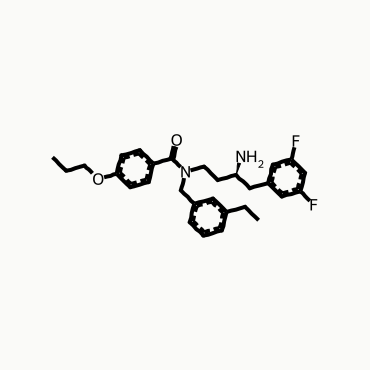 CCCOc1ccc(C(=O)N(CC[C@@H](N)Cc2cc(F)cc(F)c2)Cc2cccc(CC)c2)cc1